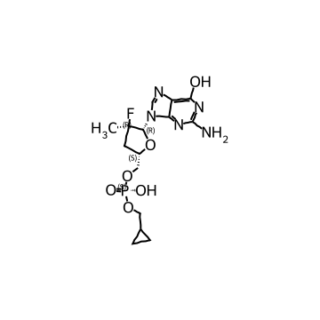 C[C@@]1(F)C[C@@H](CO[P@@](=O)(O)OCC2CC2)O[C@H]1n1cnc2c(O)nc(N)nc21